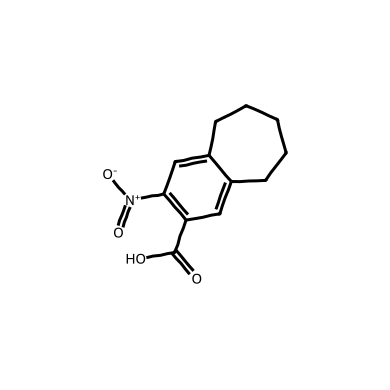 O=C(O)c1cc2c(cc1[N+](=O)[O-])CCCCC2